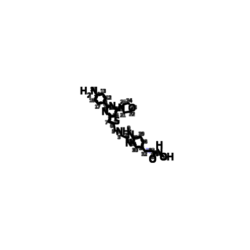 Cn1c(CNCc2cc3nc(-c4ccc(N)cc4)nc(N4CCOCC4)c3s2)nc2cc(/C=C/C(=O)NO)ccc21